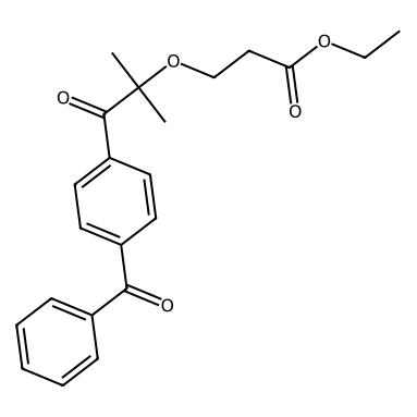 CCOC(=O)CCOC(C)(C)C(=O)c1ccc(C(=O)c2ccccc2)cc1